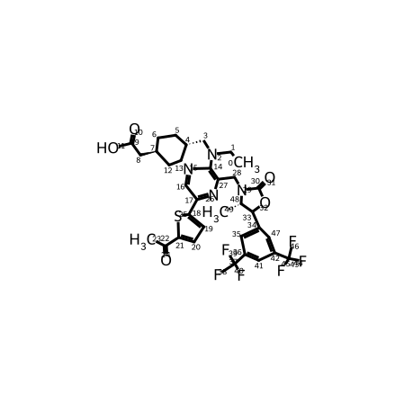 CCN(C[C@H]1CC[C@H](CC(=O)O)CC1)c1ncc(-c2ccc(C(C)=O)s2)nc1CN1C(=O)OC(c2cc(C(F)(F)F)cc(C(F)(F)F)c2)[C@@H]1C